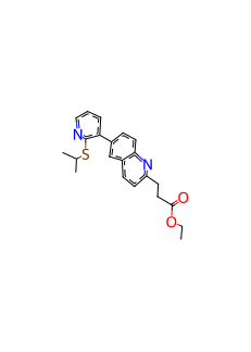 CCOC(=O)CCc1ccc2cc(-c3cccnc3SC(C)C)ccc2n1